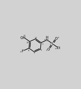 CCS(=O)(=O)Nc1ccc(F)c(N=O)c1